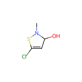 CN1SC(Cl)=CC1O